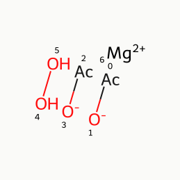 CC(=O)[O-].CC(=O)[O-].OO.[Mg+2]